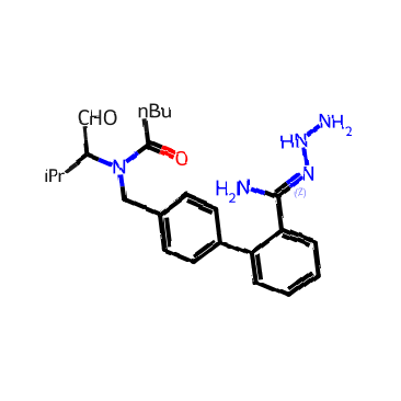 CCCCC(=O)N(Cc1ccc(-c2ccccc2/C(N)=N/NN)cc1)C(C=O)C(C)C